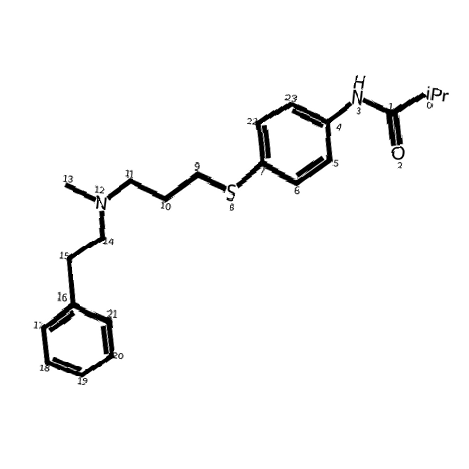 CC(C)C(=O)Nc1ccc(SCCCN(C)CCc2ccccc2)cc1